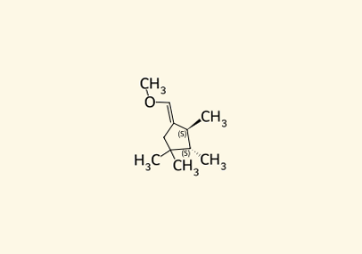 COC=C1CC(C)(C)[C@@H](C)[C@@H]1C